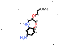 COCCOC1CNc2cc(N)ccc2OC1